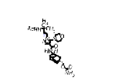 CC(=O)NC(C)(C)/C=C/n1ncc(C(=O)N[C@H]2C3CC4CC2C[C@](COC(N)=O)(C4)C3)c1N1CCOCC1